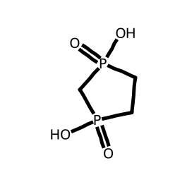 O=P1(O)CCP(=O)(O)C1